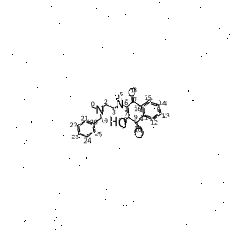 CN(CCN(C)C1=C(O)C(=O)c2ccccc2C1=O)Cc1ccccc1